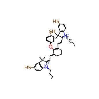 CCCCN1/C(=C/C=C2CCCC(C=CC3=[N+](CCCC)c4ccc(S)cc4C3(C)C)=C2Oc2ccc(S)cc2)C(C)(C)c2cc(S)ccc21